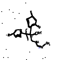 N/N=C\NC[C@@](O)(c1ccc(F)cc1F)C(F)(F)c1ccc(Br)cn1